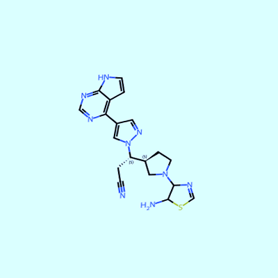 N#CC[C@@H]([C@H]1CCN(C2N=CSC2N)C1)n1cc(-c2ncnc3[nH]ccc23)cn1